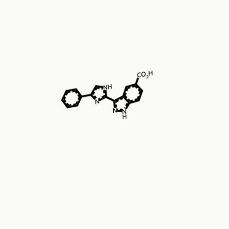 O=C(O)c1ccc2[nH]nc(-c3nc(-c4ccccc4)c[nH]3)c2c1